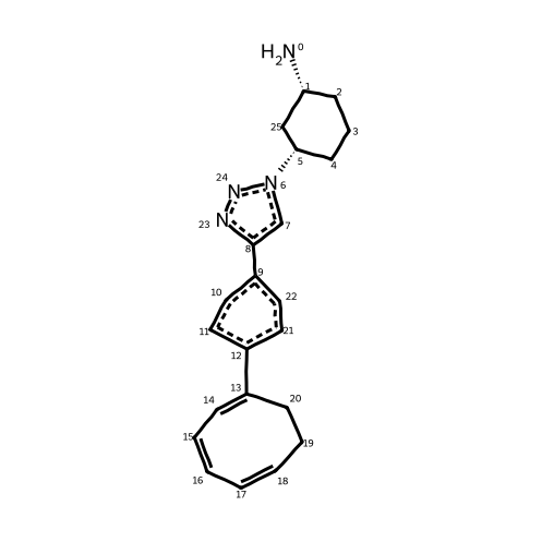 N[C@@H]1CCC[C@H](n2cc(-c3ccc(/C4=C/C=C\C=C/CC4)cc3)nn2)C1